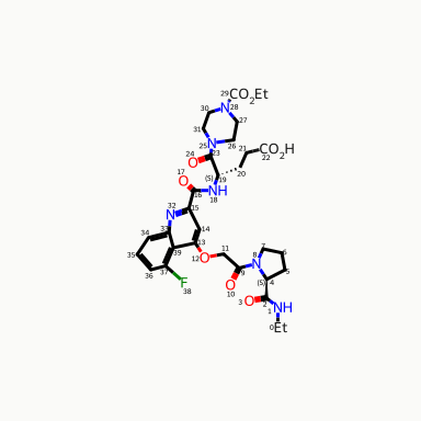 CCNC(=O)[C@@H]1CCCN1C(=O)COc1cc(C(=O)N[C@@H](CCC(=O)O)C(=O)N2CCN(C(=O)OCC)CC2)nc2cccc(F)c12